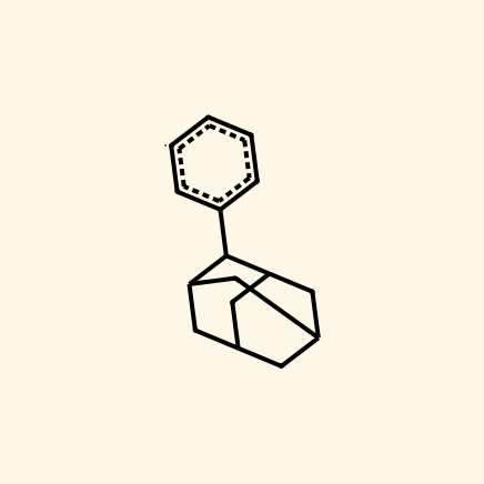 [c]1cccc(C2C3CC4CC(C3)CC2C4)c1